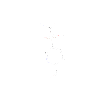 NC(=O)S(=O)(=O)c1ccc([C]=O)nc1